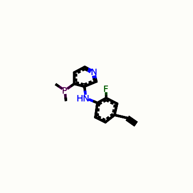 C#Cc1ccc(Nc2cnccc2P(C)C)c(F)c1